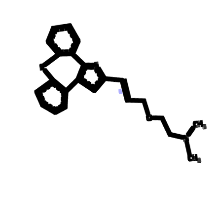 CN(C)CCOC/C=C/c1cc2c(s1)-c1ccccc1Sc1ccccc1-2